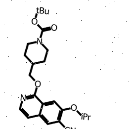 CC(C)Oc1cc2c(OCC3CCN(C(=O)OC(C)(C)C)CC3)nccc2cc1C#N